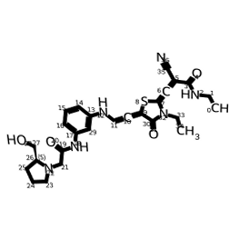 CCNC(=O)C(=C=c1sc(=C=CNc2cccc(NC(=O)CN3CCC[C@H]3CO)c2)c(=O)n1CC)C#N